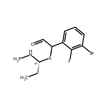 CC[C@H](NP)SC(C=O)c1cccc(Br)c1F